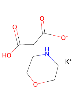 C1COCCN1.O=C([O-])CC(=O)O.[K+]